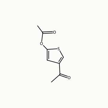 CC(=O)Oc1cc(C(C)=O)cs1